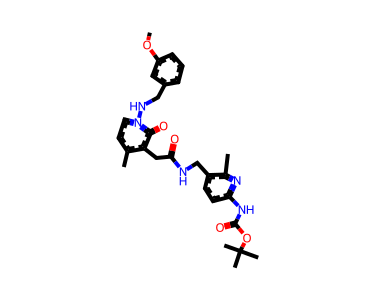 COc1cccc(CNn2ccc(C)c(CC(=O)NCc3ccc(NC(=O)OC(C)(C)C)nc3C)c2=O)c1